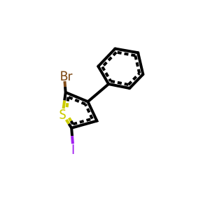 Brc1sc(I)cc1-c1ccccc1